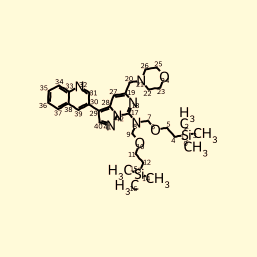 C[Si](C)(C)CCOCN(COCC[Si](C)(C)C)c1nc(CN2CCOCC2)cc2c(-c3cnc4ccccc4c3)cnn12